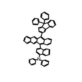 c1ccc(N(c2ccccc2)c2ccc(-c3c4ccccc4c(-c4ccc5c(c4)-c4ccccc4C5(c4ccccc4)c4ccccc4)c4cc5ccccc5cc34)c3ccccc23)cc1